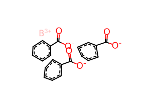 O=C([O-])c1ccccc1.O=C([O-])c1ccccc1.O=C([O-])c1ccccc1.[B+3]